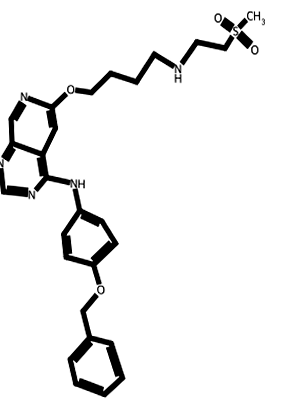 CS(=O)(=O)CCNCCCCOc1cc2c(Nc3ccc(OCc4ccccc4)cc3)ncnc2cn1